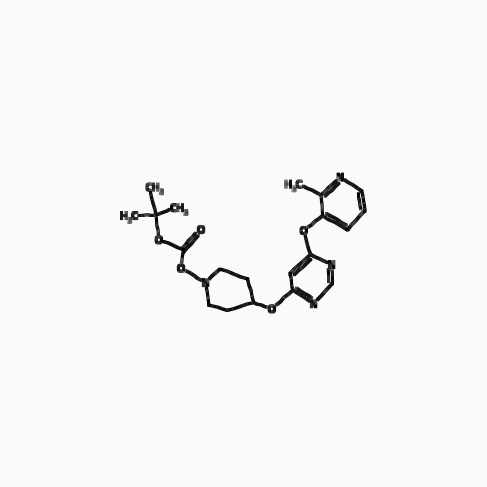 Cc1ncccc1Oc1cc(OC2CCN(OC(=O)OC(C)(C)C)CC2)ncn1